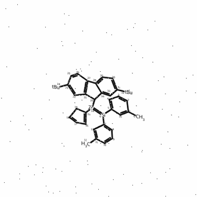 Cc1cccc([Si](c2cccc(C)c2)=[Zr]([C]2=CC=CC2)[CH]2c3cc(C(C)(C)C)ccc3-c3ccc(C(C)(C)C)cc32)c1